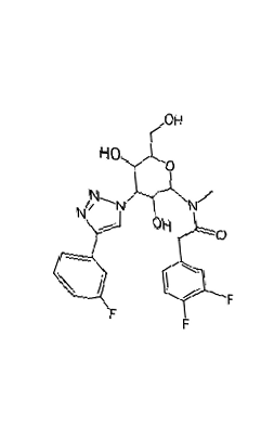 CN(C(=O)Cc1ccc(F)c(F)c1)C1OC(CO)C(O)C(n2cc(-c3cccc(F)c3)nn2)C1O